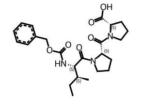 CC[C@H](C)[C@H](NC(=O)OCc1ccccc1)C(=O)N1CCC[C@H]1C(=O)N1CCC[C@H]1C(=O)O